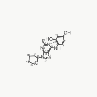 Oc1ccc(Nc2nc(I)nc3c2ncn3C2CCCCO2)c(O)c1